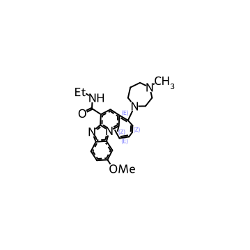 CCNC(=O)c1cc2/c(n3c1nc1ccc(OC)cc13)=C/C=C/C=C\C=2N1CCCN(C)CC1